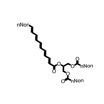 CCCCCCCCCC=CC=CC=CC=CC=CC(=O)OC(COC(=O)CCCCCCCCC)COC(=O)CCCCCCCCC